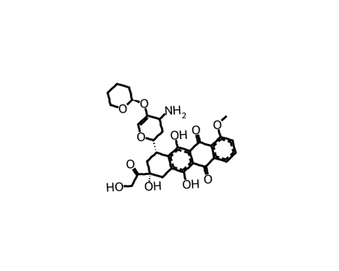 COc1cccc2c1C(=O)c1c(O)c3c(c(O)c1C2=O)C[C@@](O)(C(=O)CO)C[C@@H]3C1CC(N)C(O[C@@H]2CCCCO2)=CO1